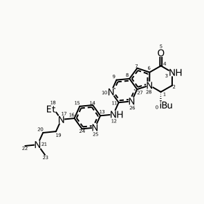 CCC(C)[C@H]1CNC(=O)c2cc3cnc(Nc4ccc(N(CC)CCN(C)C)cn4)nc3n21